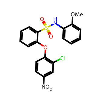 COc1ccccc1NS(=O)(=O)c1ccccc1Oc1ccc([N+](=O)[O-])cc1Cl